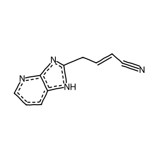 N#CC=CCc1nc2ncccc2[nH]1